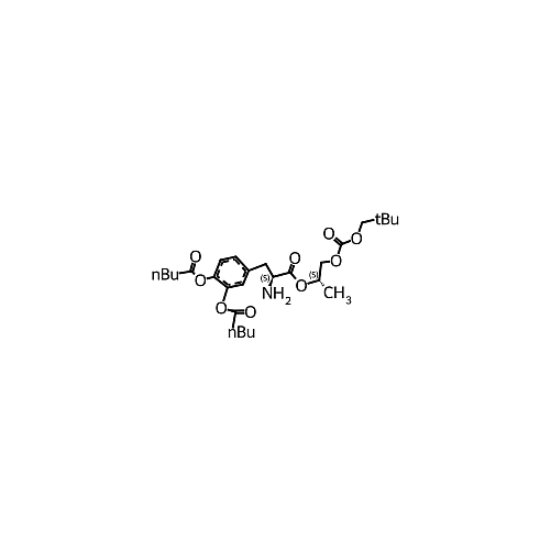 CCCCC(=O)Oc1ccc(C[C@H](N)C(=O)O[C@@H](C)COC(=O)OCC(C)(C)C)cc1OC(=O)CCCC